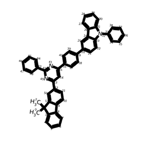 CC1(C)c2ccccc2-c2ccc(-c3cc(-c4ccc(-c5ccc6c(c5)c5ccccc5n6-c5ccccc5)cc4)nc(-c4ccccc4)n3)cc21